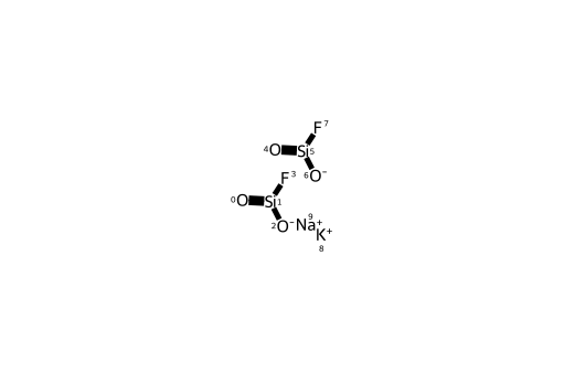 O=[Si]([O-])F.O=[Si]([O-])F.[K+].[Na+]